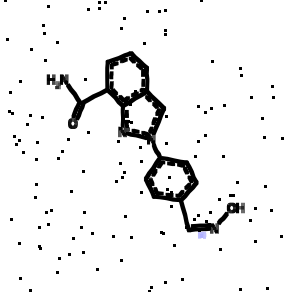 NC(=O)c1cccc2cn(-c3ccc(/C=N\O)cc3)nc12